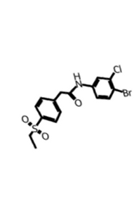 CCS(=O)(=O)c1ccc(CC(=O)Nc2ccc(Br)c(Cl)c2)cc1